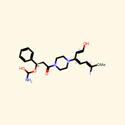 CO/C(I)=C/C=C(\C=C\O)N1CCN(C(=O)C[C@@H](OC(N)O)c2ccccc2)CC1